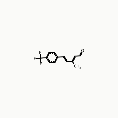 CC(C=Cc1ccc(C(F)(F)F)cc1)=CC=O